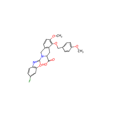 COc1ccc(COc2c(OC)ccc3c2CC(C(=O)O)N(c2nc4ccc(F)cc4o2)C3)cc1